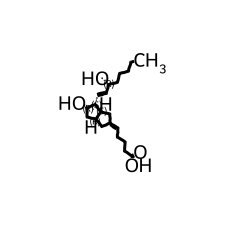 CCCCC[C@@H](O)C=C[C@@H]1[C@H]2CC(=CCCCC(=O)O)C[C@@H]2C[C@H]1O